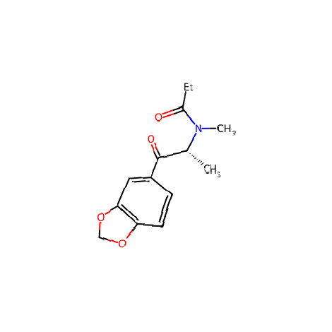 CCC(=O)N(C)[C@H](C)C(=O)c1ccc2c(c1)OCO2